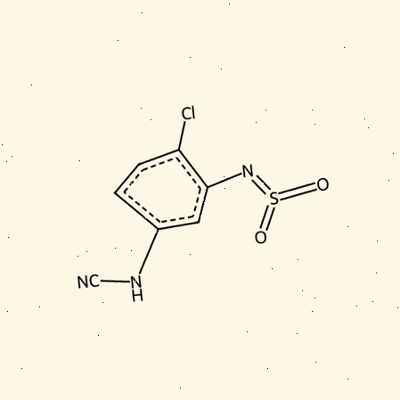 N#CNc1ccc(Cl)c(N=S(=O)=O)c1